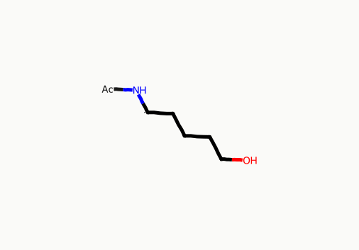 CC(=O)N[CH]CCCCO